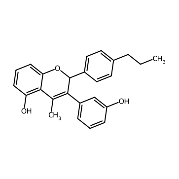 CCCc1ccc(C2Oc3cccc(O)c3C(C)=C2c2cccc(O)c2)cc1